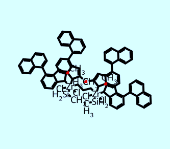 C[SiH2][Zr]([Cl])([Cl])([CH2]C[CH2][Zr]([Cl])([Cl])([SiH2]C)([CH]1C(C)=Cc2c(-c3cccc4ccccc34)cccc21)[CH]1C(C)=Cc2c(-c3cccc4ccccc34)cccc21)([CH]1C(C)=Cc2c(-c3cccc4ccccc34)cccc21)[CH]1C(C)=Cc2c(-c3cccc4ccccc34)cccc21